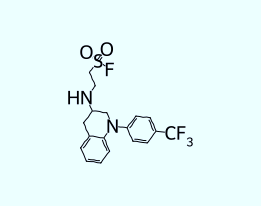 O=S(=O)(F)CCNC1Cc2ccccc2N(c2ccc(C(F)(F)F)cc2)C1